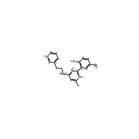 Cc1cc(NCCc2cccnc2)nc(-c2cc(Br)ccc2F)n1